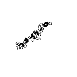 C[S@+]([O-])CCC(C(=O)O)[n+]1ccc(SCC2=C(C(=O)O)N3C(=O)[C@H](NC(=O)CSc4cc(Cl)ccc4Cl)[C@H]3SC2)cc1